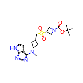 CN(c1ncnc2[nH]ccc12)[C@H]1C[C@H](CS(=O)(=O)C2CN(C(=O)OC(C)(C)C)C2)C1